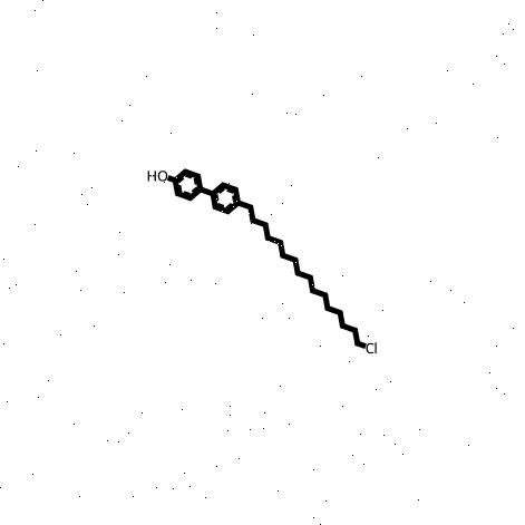 Oc1ccc(-c2ccc(CCCCCCCCCCCCCCCCCl)cc2)cc1